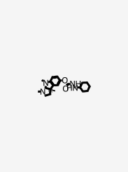 CN1CC[C@@]2(C)c3cc(OC(=O)NNC4CCCCC4)ccc3N(C)C12